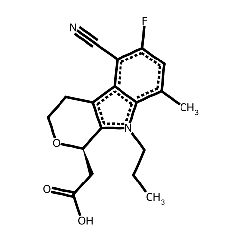 CCCn1c2c(c3c(C#N)c(F)cc(C)c31)CCO[C@@H]2CC(=O)O